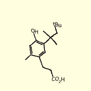 Cc1cc(O)c(C(C)(C)CC(C)(C)C)cc1CCC(=O)O